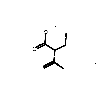 C=C(C)C(CC)C([O])=O